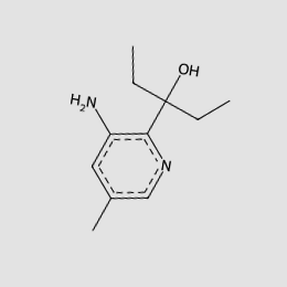 CCC(O)(CC)c1ncc(C)cc1N